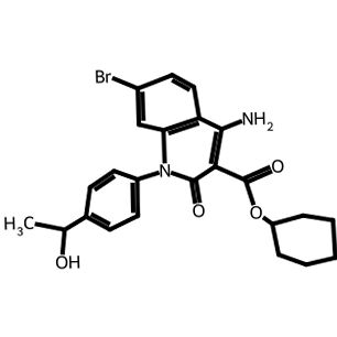 CC(O)c1ccc(-n2c(=O)c(C(=O)OC3CCCCC3)c(N)c3ccc(Br)cc32)cc1